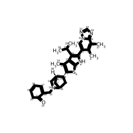 Cc1c(-c2[nH]c3sc([C@@H]4CC5C[C@H]4CN5CC4=CC=CCC4=O)c(C)c3c2C(C)C)cn2ncnc2c1C